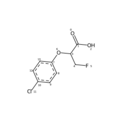 O=C(O)C(CF)Oc1ccc(Cl)cc1